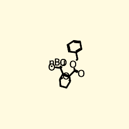 CCCCOC(=O)C1=C(C(=O)OCc2ccccc2)C2CCC1O2